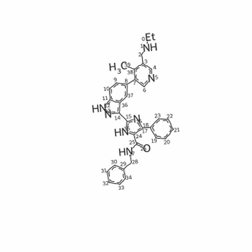 CCNCc1cncc(-c2ccc3[nH]nc(-c4nc(-c5ccccc5)c(C(=O)NCc5ccccc5)[nH]4)c3c2)c1C